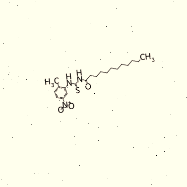 CCCCCCCCCCCC(=O)NC(=S)Nc1cc([N+](=O)[O-])ccc1C